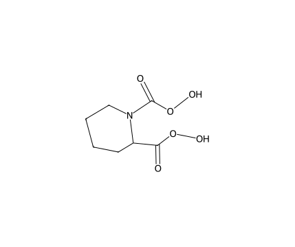 O=C(OO)C1CCCCN1C(=O)OO